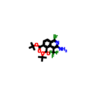 CC(C)(C)OC(=O)c1ccc2c(Br)nc(N)c(C(F)(F)F)c2c1C(=O)OC(C)(C)C